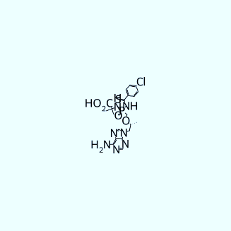 C[C@H](Cn1cnc2c(N)ncnc21)OCP(=O)(NC(=S)c1ccc(Cl)cc1)NC(C)(C)C(=O)O